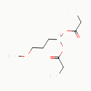 CCC(=O)O[SiH](CCCOC)OC(=O)CC